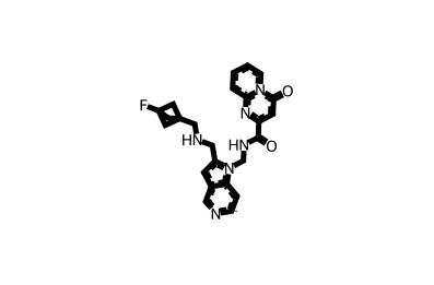 O=C(NCn1c(CNCC23CC(F)(C2)C3)cc2cn[c]cc21)c1cc(=O)n2ccccc2n1